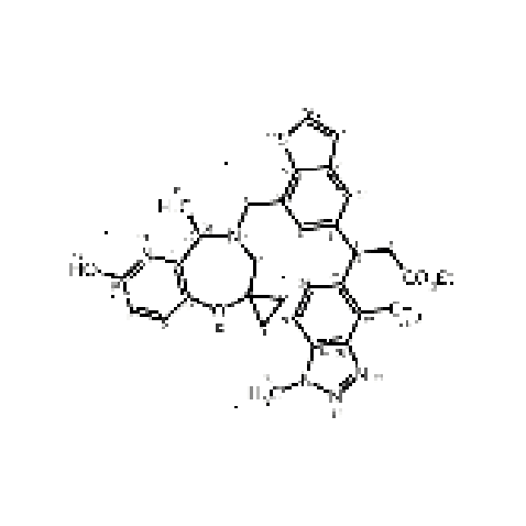 CCOC(=O)C[C@H](c1cc(CN2CC3(CC3)Oc3ccc(O)nc3[C@H]2C)c2sccc2c1)c1ccc2c(nnn2C)c1C